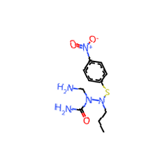 CCCN(Sc1ccc([N+](=O)[O-])cc1)N(CN)C(N)=O